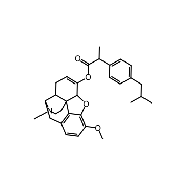 COc1ccc2c3c1OC1C(OC(=O)C(C)c4ccc(CC(C)C)cc4)=CCC4C(C2)N(C)CCC314